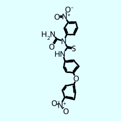 NC(=O)N(C(=S)Nc1ccc(Oc2ccc([N+](=O)[O-])cc2)cc1)c1cccc([N+](=O)[O-])c1